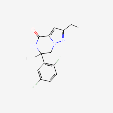 CCc1cc2n(n1)CC(C)(c1cc(Br)ccc1F)NC2=O